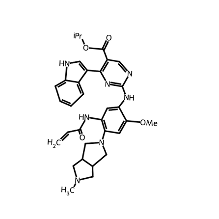 C=CC(=O)Nc1cc(Nc2ncc(C(=O)OC(C)C)c(-c3c[nH]c4ccccc34)n2)c(OC)cc1N1CC2CN(C)CC2C1